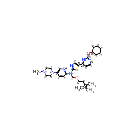 CN1CCN(c2ccc(N(COCC[Si](C)(C)C)c3ncc(-c4ccnc(OC5CCCCC5)n4)s3)nc2)CC1